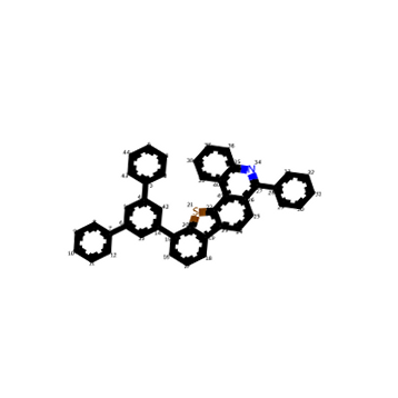 c1ccc(-c2cc(-c3ccccc3)cc(-c3cccc4c3sc3c4ccc4c(-c5ccccc5)nc5ccccc5c43)c2)cc1